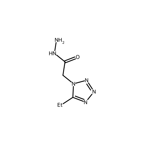 [CH2]Cc1nnnn1CC(=O)NN